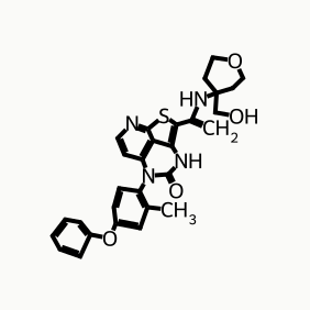 C=C(NC1(CO)CCOCC1)c1sc2nccc3c2c1NC(=O)N3c1ccc(Oc2ccccc2)cc1C